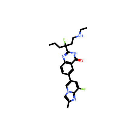 CCCC(F)(CCNCC)c1nc2ccc(-c3cc(F)c4nc(C)cn4c3)cc2c(=O)[nH]1